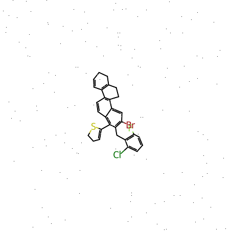 Fc1cccc(Cl)c1Cc1c(Br)cc2c3c(ccc2c1C1=CCCS1)C1=C(CCC=C1)CC3